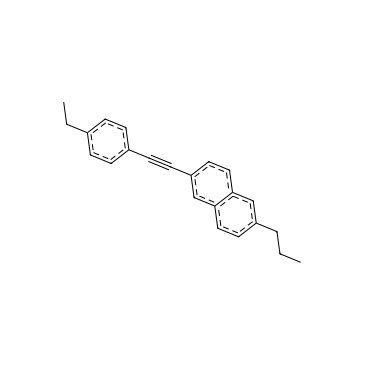 CCCc1ccc2cc(C#Cc3ccc(CC)cc3)ccc2c1